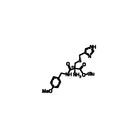 COc1ccc(CNC(=O)[C@](N)(CSCc2c[nH]cn2)C(=O)OC(C)(C)C)cc1